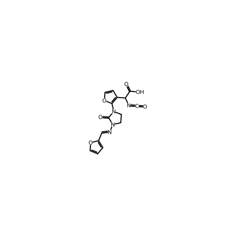 O=C=NC(C(=O)O)c1ccoc1N1CCN(N=Cc2ccco2)C1=O